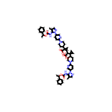 Cc1cnn(-c2ccc(N3CCC(C4(C(C(=O)O)C5CC5(C(=O)O)C5CCN(c6ccc(-n7ncc(C)c7NC(=O)OC(C)c7ccccc7)cn6)CC5)CC4)CC3)nc2)c1NC(=O)OC(C)c1ccccc1